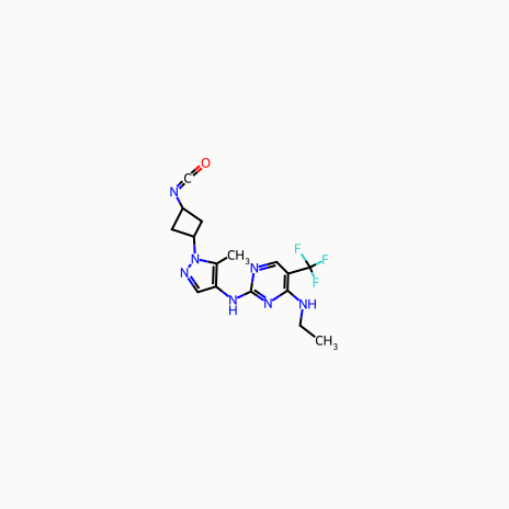 CCNc1nc(Nc2cnn(C3CC(N=C=O)C3)c2C)ncc1C(F)(F)F